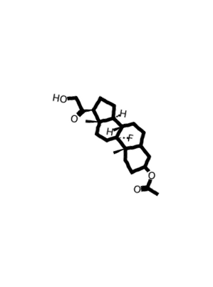 CC(=O)OC1CC[C@@]2(C)C(CC[C@H]3[C@@H]4CC[C@H](C(=O)CO)[C@@]4(C)CC[C@@]32F)C1